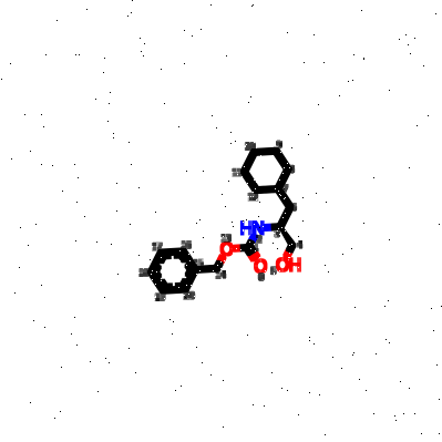 O=C(N[C@H](CO)CC1CCCCC1)OCc1ccccc1